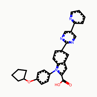 O=C(O)c1cc2cc(-c3ncc(-c4ccccn4)cn3)ccc2n1-c1ccc(OC2CCCC2)cc1